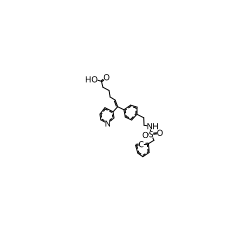 O=C(O)CCCC=C(c1ccc(CCNS(=O)(=O)Cc2ccccc2)cc1)c1cccnc1